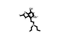 Br.CCCN(CCC)CCc1ccc(O)c2c1CC(C)O2